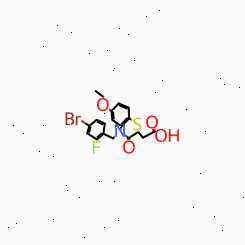 CCOc1ccc2c(c1)N(Cc1ccc(Br)cc1F)C(=O)C(CC(=O)O)S2